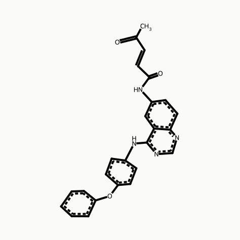 CC(=O)C=CC(=O)Nc1ccc2ncnc(Nc3ccc(Oc4ccccc4)cc3)c2c1